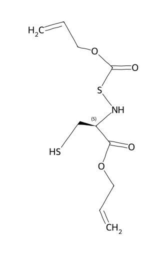 C=CCOC(=O)SN[C@H](CS)C(=O)OCC=C